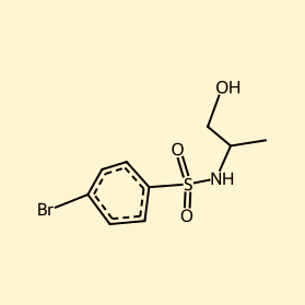 CC(CO)NS(=O)(=O)c1ccc(Br)cc1